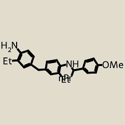 CCCC(Nc1ccc(Cc2ccc(N)c(CC)c2)cc1CC)c1ccc(OC)cc1